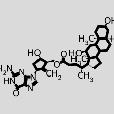 C=C1[C@H](COC(=O)CC[C@@H](C)[C@H]2CCC3C4CC[C@@H]5C[C@H](O)CC[C@]5(C)C4C[C@H](O)[C@@]32C)[C@@H](O)C[C@@H]1n1cnc2c(=O)[nH]c(N)nc21